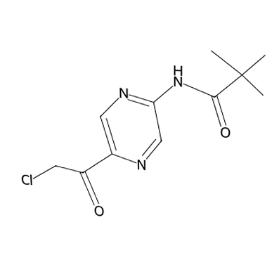 CC(C)(C)C(=O)Nc1cnc(C(=O)CCl)cn1